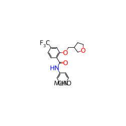 CN/C=C\C(=C/C=O)NC(=O)c1ccc(C(F)(F)F)cc1OCC1CCOC1